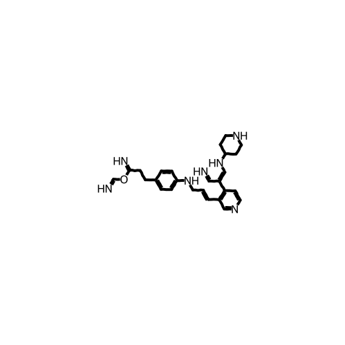 N=COC(=N)CCc1ccc(NC/C=C/c2cnccc2/C(C=N)=C/NC2CCNCC2)cc1